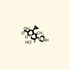 Cc1c(N2CCNCC2)c(F)cn2c(=O)c(C(=O)O)cc(C3CC3)c12.Cl